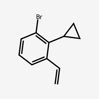 C=Cc1cccc(Br)c1C1CC1